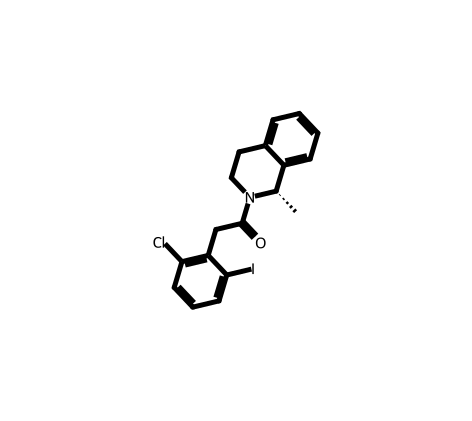 C[C@H]1c2ccccc2CCN1C(=O)Cc1c(Cl)cccc1I